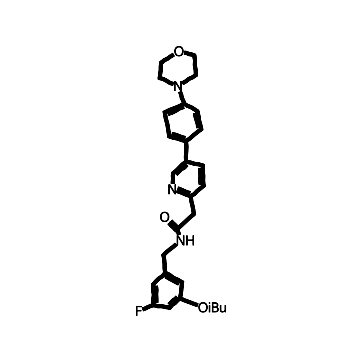 CC(C)COc1cc(F)cc(CNC(=O)Cc2ccc(-c3ccc(N4CCOCC4)cc3)cn2)c1